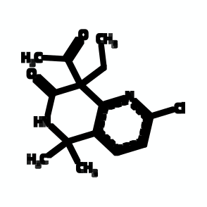 CCC1(C(C)=O)C(=O)NC(C)(C)c2ccc(Cl)nc21